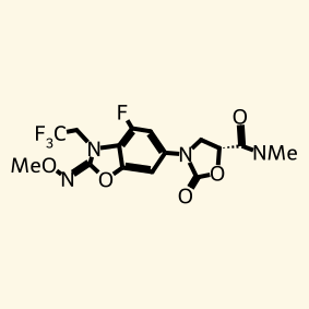 CNC(=O)[C@H]1CN(c2cc(F)c3c(c2)o/c(=N/OC)n3CC(F)(F)F)C(=O)O1